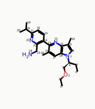 CCOC[C@H](CC)n1cc(C)c2nc(-c3ccc(C(C)C)nc3CN)c(C)cc21